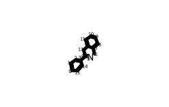 c1ccc(C2=NCc3ccccc3C2)cc1